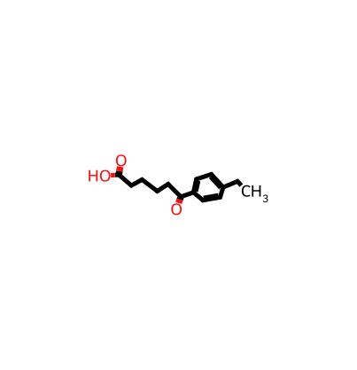 CCc1ccc(C(=O)CCCCC(=O)O)cc1